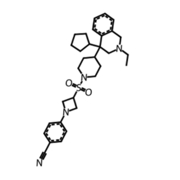 CCN1Cc2ccccc2C(C2CCCC2)(C2CCN(S(=O)(=O)C3CN(c4ccc(C#N)cc4)C3)CC2)C1